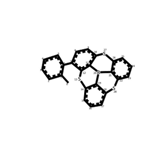 Cc1ccccc1-c1ccc2c3c1Sc1cccc4c1B3c1c(cccc1S2)S4